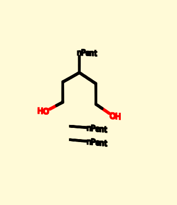 CCCCCC.CCCCCC.CCCCCC(CCO)CCO